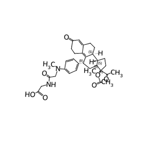 CC(=O)O[C@]1(C(C)=O)CC[C@H]2[C@@H]3CCC4=CC(=O)CCC4=C3[C@@H](c3ccc(N(C)CC(=O)NCC(=O)O)cc3)C[C@@]21C